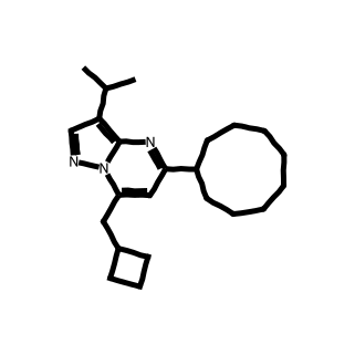 CC(C)c1cnn2c(CC3CCC3)cc(C3CCCCCCCC3)nc12